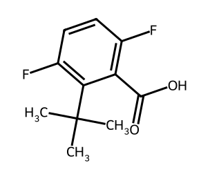 CC(C)(C)c1c(F)ccc(F)c1C(=O)O